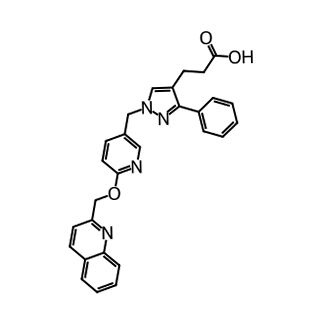 O=C(O)CCc1cn(Cc2ccc(OCc3ccc4ccccc4n3)nc2)nc1-c1ccccc1